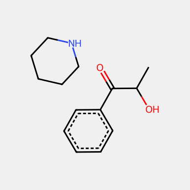 C1CCNCC1.CC(O)C(=O)c1ccccc1